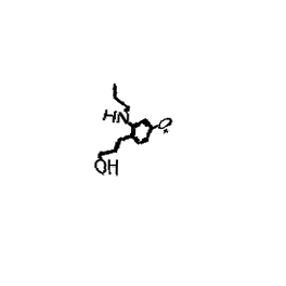 CCCNc1cc(OC)ccc1CCCO